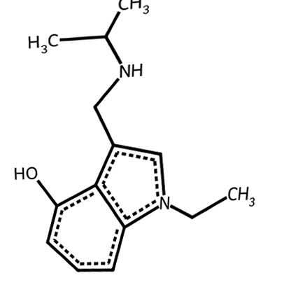 CCn1cc(CNC(C)C)c2c(O)cccc21